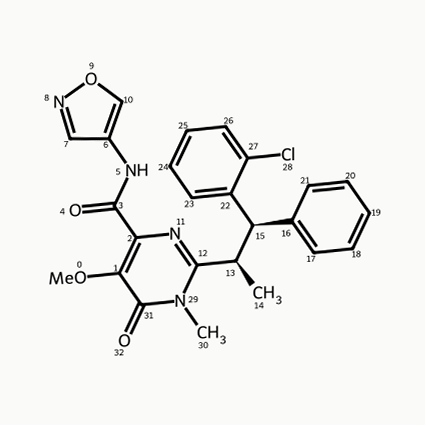 COc1c(C(=O)Nc2cnoc2)nc([C@H](C)[C@H](c2ccccc2)c2ccccc2Cl)n(C)c1=O